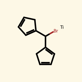 BrC(C1=CC=CC1)C1=CC=CC1.[Ti]